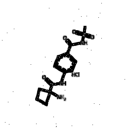 CS(=O)(=O)NC(=O)c1ccc(NC(=O)C2(N)CCC2)cc1.Cl